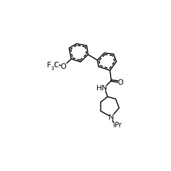 CC(C)N1CCC(NC(=O)c2cccc(-c3cccc(OC(F)(F)F)c3)c2)CC1